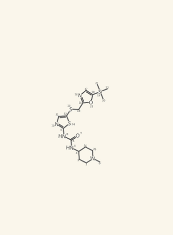 CN1CCC(NC(=O)Nc2ncc(SCc3ncc([Si](C)(C)C)o3)s2)CC1